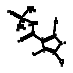 Cc1c(Cl)sc(Cl)c1C(=O)NP(N)(N)=O